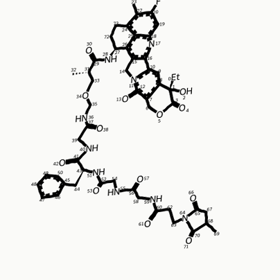 CC[C@@]1(O)C(=O)OCc2c1cc1n(c2=O)Cc2c-1nc1cc(F)c(C)c3c1c2[C@@H](NC(=O)[C@@H](C)COCNC(=O)CNC(=O)[C@H](Cc1ccccc1)NC(=O)CNC(=O)CNC(=O)CCN1C(=O)CC(C)C1=O)CC3